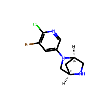 Clc1ncc(N2C[C@H]3C[C@@H]2CN3)cc1Br